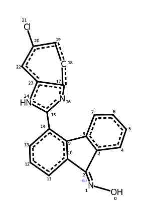 O/N=C1\c2ccccc2-c2c1cccc2-c1nc2ccc(Cl)cc2[nH]1